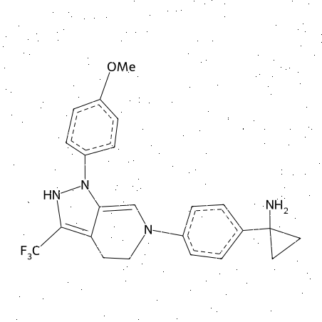 COc1ccc(N2NC(C(F)(F)F)=C3CCN(c4ccc(C5(N)CC5)cc4)C=C32)cc1